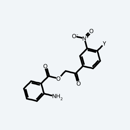 Nc1ccccc1C(=O)OCC(=O)c1cc[c]([Y])c([N+](=O)[O-])c1